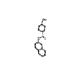 CC(C)(C)c1ccc(C(=O)Oc2ccc3ccccc3c2)cc1